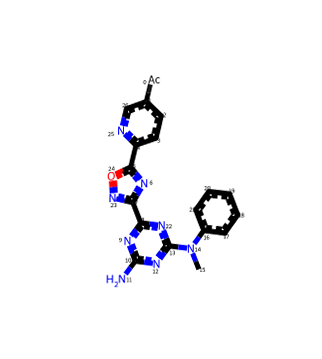 CC(=O)c1ccc(-c2nc(-c3nc(N)nc(N(C)c4ccccc4)n3)no2)nc1